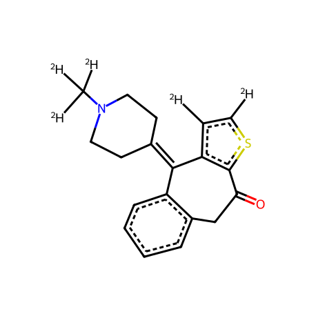 [2H]c1sc2c(c1[2H])C(=C1CCN(C([2H])([2H])[2H])CC1)c1ccccc1CC2=O